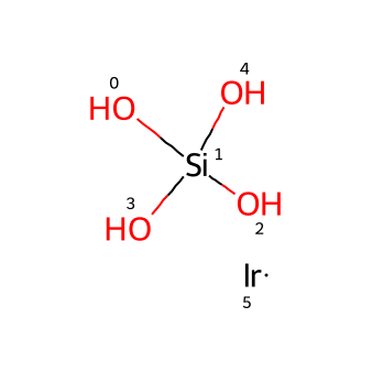 O[Si](O)(O)O.[Ir]